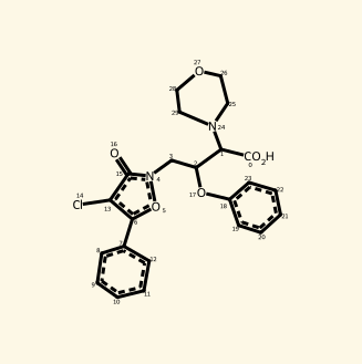 O=C(O)C(C(Cn1oc(-c2ccccc2)c(Cl)c1=O)Oc1ccccc1)N1CCOCC1